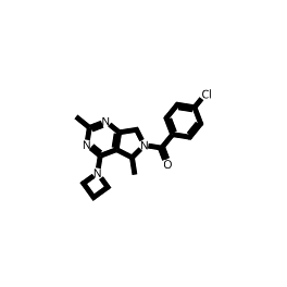 Cc1nc2c(c(N3CCC3)n1)C(C)N(C(=O)c1ccc(Cl)cc1)C2